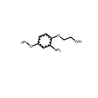 CCCOc1ccc(OCCOC(C)=O)c(N)c1